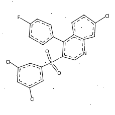 O=S(=O)(c1cc(Cl)cc(Cl)c1)c1cnc2cc(Cl)ccc2c1-c1ccc(F)cc1